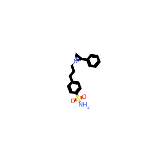 NS(=O)(=O)c1ccc(CCC[N@@]2CC2c2ccccc2)cc1